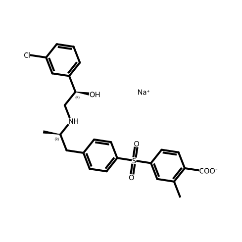 Cc1cc(S(=O)(=O)c2ccc(C[C@@H](C)NC[C@H](O)c3cccc(Cl)c3)cc2)ccc1C(=O)[O-].[Na+]